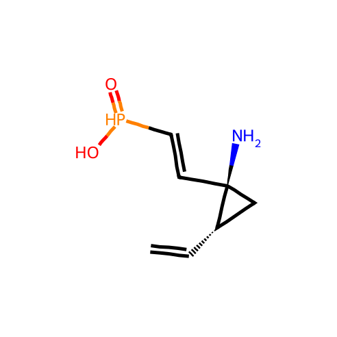 C=C[C@H]1C[C@@]1(N)C=C[PH](=O)O